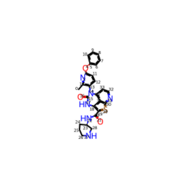 Cc1nc(Oc2ccccc2)ccc1N1C(=O)Nc2c(C(=O)N[C@@H]3CCCNC3)sc3nccc1c23